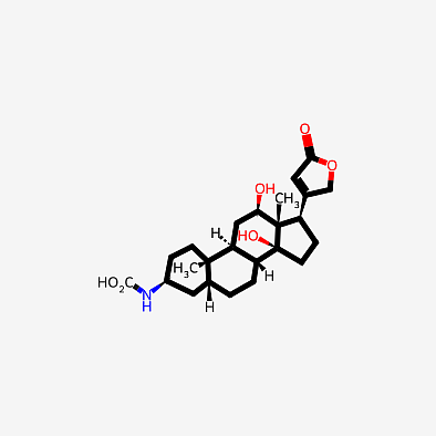 C[C@]12CC[C@H](NC(=O)O)C[C@H]1CC[C@@H]1[C@@H]2C[C@@H](O)[C@]2(C)[C@@H](C3=CC(=O)OC3)CC[C@]12O